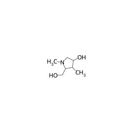 CC1C(O)CN(C)C1CO